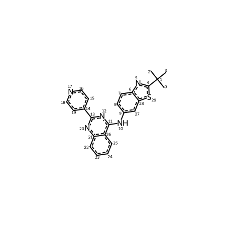 CC(C)(C)c1nc2ccc(Nc3nc(-c4ccncc4)nc4ccccc34)cc2s1